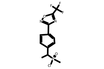 CC(c1ccc(-c2noc(C(F)(F)F)n2)cc1)P(C)(=O)Cl